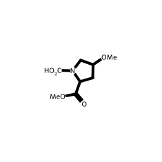 COC(=O)C1CC(OC)CN1C(=O)O